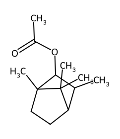 CC(=O)OC1C(C)C2CCC1(C)C2(C)C